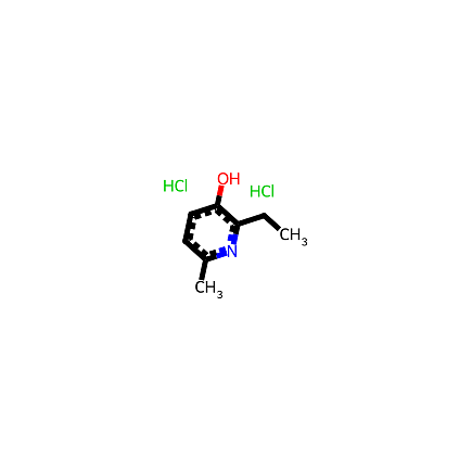 CCc1nc(C)ccc1O.Cl.Cl